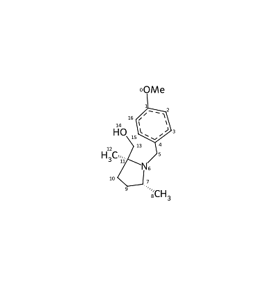 COc1ccc(CN2[C@H](C)CC[C@@]2(C)CO)cc1